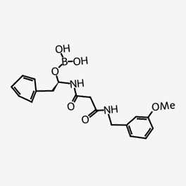 COc1cccc(CNC(=O)CC(=O)N[C@@H](Cc2ccccc2)OB(O)O)c1